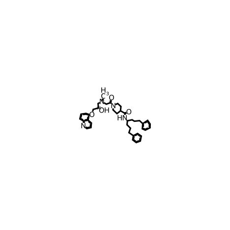 CN(CC(=O)N1CCC(C(=O)NC(CCCc2ccccc2)CCCc2ccccc2)CC1)C[C@@H](O)COc1cccc2ncccc12